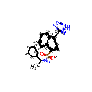 CC(NS(=O)(=O)c1ccc(-c2nn[nH]n2)c2ccccc12)C1CCCCC1